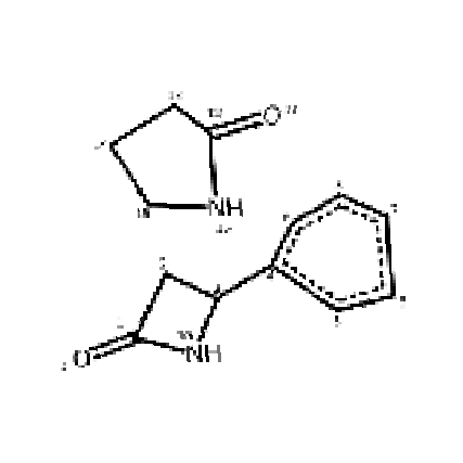 O=C1CC(c2ccccc2)N1.O=C1CCCN1